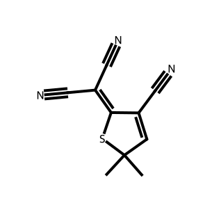 CC1(C)C=C(C#N)C(=C(C#N)C#N)S1